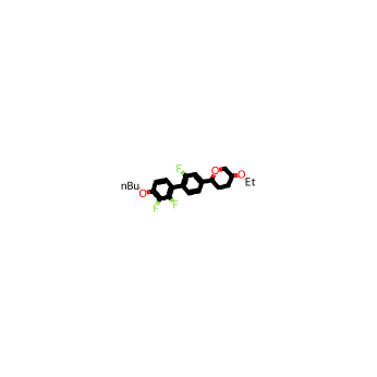 CCCCOc1ccc(-c2ccc(C3CCC(OCC)CO3)cc2F)c(F)c1F